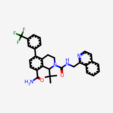 CC(C)(C)C1c2c(C(N)=O)ccc(-c3cccc(C(F)(F)F)c3)c2CCN1C(=O)NCc1nccc2ccccc12